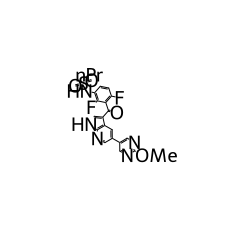 CCCS(=O)(=O)Nc1ccc(F)c(C(=O)c2c[nH]c3ncc(-c4cnc(OC)nc4)cc23)c1F